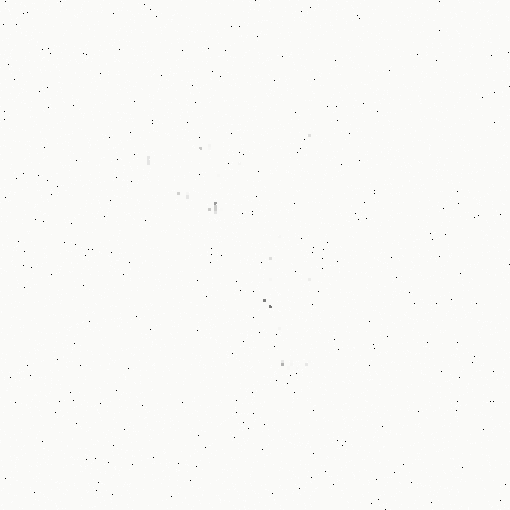 COC(=O)c1cnc2[nH]c(C(CC3CCCC3)c3ccc(S(C)(=O)=O)nc3)cc2c1